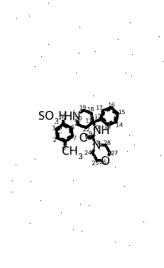 Cc1ccc(S(=O)(=O)O)cc1.O=C(NC1(c2ccccc2)CCNCC1)N1CCOCC1